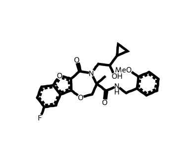 COc1ccccc1CNC(=O)C1(C)COc2c(oc3ccc(F)cc23)C(=O)N1CC(O)C1CC1